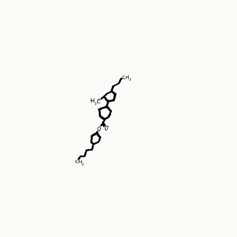 CCCCCC1CCC(OC(=O)C2CCC(C3CCC(CCCC)CC3C)CC2)CC1